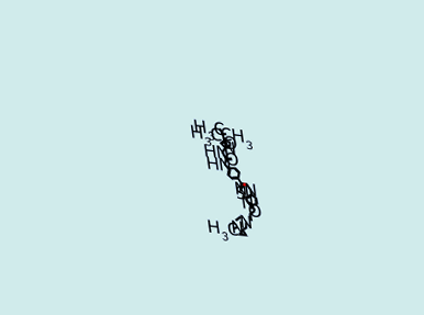 CN1CCN(CCOc2ccc3c(n2)SN2CN3C=C2c2ccc(NC(=O)Nc3cc(C(C)(C)C)on3)cc2)CC12CC2